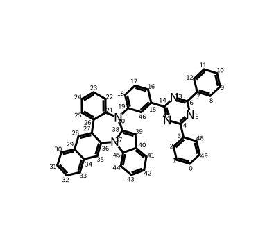 c1ccc(-c2nc(-c3ccccc3)nc(-c3cccc(N4c5ccccc5-c5cc6ccccc6cc5-n5c4cc4ccccc45)c3)n2)cc1